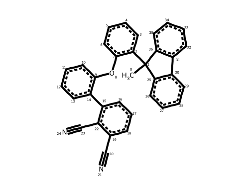 CC1(c2ccccc2Oc2ccccc2-c2cccc(C#N)c2C#N)c2ccccc2-c2ccccc21